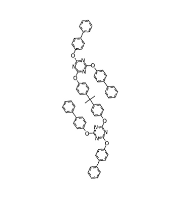 CC(C)(c1ccc(Oc2nc(Oc3ccc(-c4ccccc4)cc3)nc(Oc3ccc(-c4ccccc4)cc3)n2)cc1)c1ccc(Oc2nc(Oc3ccc(-c4ccccc4)cc3)nc(Oc3ccc(-c4ccccc4)cc3)n2)cc1